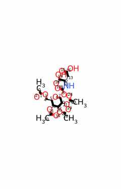 CC(=O)OC[C@H]1OC(OC(=O)N[C@@H](CC(=O)O)C(=O)O)[C@H](OC(C)=O)[C@@H](OC(C)=O)[C@@H]1OC(C)=O